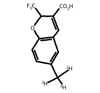 [2H]C([2H])([2H])c1ccc2c(c1)C=C(C(=O)O)C(C(F)(F)F)O2